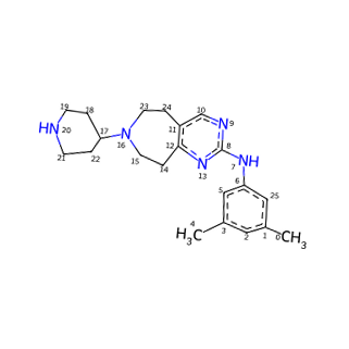 Cc1cc(C)cc(Nc2ncc3c(n2)CCN(C2CCNCC2)CC3)c1